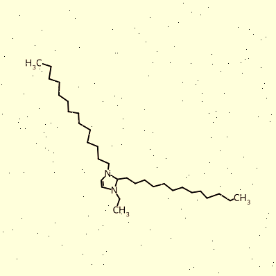 CCCCCCCCCCCCCCN1C=CN(CC)C1CCCCCCCCCCCCC